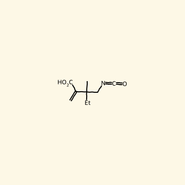 C=C(C(=O)O)C(C)(CC)CN=C=O